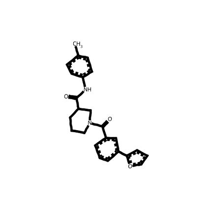 Cc1ccc(NC(=O)C2CCCN(C(=O)c3cccc(-c4ccco4)c3)C2)cc1